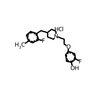 Cc1ccc(CC2CCN(CCOc3ccc(O)c(F)c3)CC2)c(F)c1.Cl